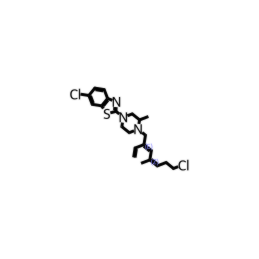 C=C/C(=C\C(C)=C/CCCl)CN1CCN(c2nc3ccc(Cl)cc3s2)CC1C